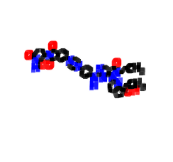 C=CCn1c(=O)c2cnc(Nc3ccc(N4CCN(c5ccc6c(c5)C(=O)N(C5CCC(=O)NC5=O)C6=O)CC4)cc3)nc2n1-c1ccc2c(n1)[C@@](O)(CC)CC2